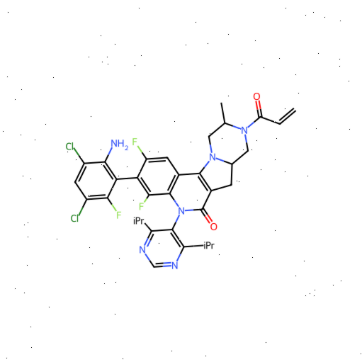 C=CC(=O)N1CC2Cc3c(c4cc(F)c(-c5c(N)c(Cl)cc(Cl)c5F)c(F)c4n(-c4c(C(C)C)ncnc4C(C)C)c3=O)N2CC1C